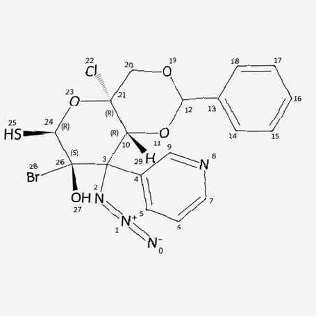 [N-]=[N+]=NC1(c2cccnc2)[C@H]2OC(c3ccccc3)OC[C@]2(Cl)O[C@H](S)[C@@]1(O)Br